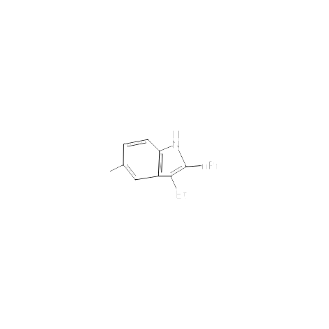 CCCc1[nH]c2ccc(C)cc2c1CC